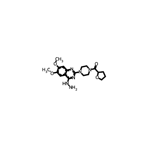 COc1cc2nc(N3CCN(C(=O)C4CCCO4)CC3)nc(NN)c2cc1OC